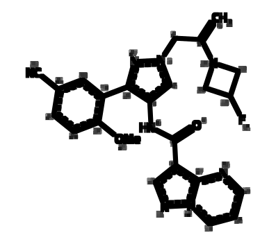 C=C(Cn1cc(NC(=O)c2cnn3cccnc23)c(-c2cc(C#N)ccc2OC)n1)N1CC(F)C1